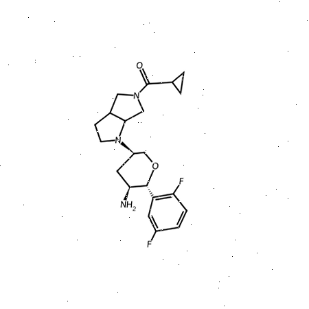 N[C@H]1C[C@@H](N2CCC3CN(C(=O)C4CC4)CC32)CO[C@@H]1c1cc(F)ccc1F